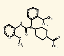 COc1ncccc1NC(=O)N(c1ccccc1C(C)C)C1CCN(C(C)=O)CC1